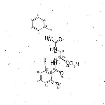 O=C(NCc1ccccc1)NC[C@H](NC(=O)c1c(F)cccc1Br)C(=O)O